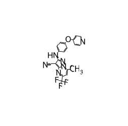 Cc1cc(C(F)(F)F)nc2c(C#N)c(Nc3ccc(Oc4ccncc4)cc3)nn12